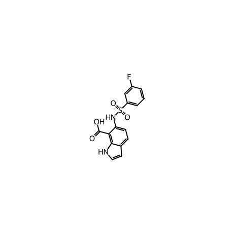 O=C(O)c1c(NS(=O)(=O)c2cccc(F)c2)ccc2cc[nH]c12